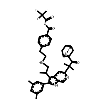 Cc1cc(C)cc(-c2[nH]c3cnc(C(C)(C)C(=O)N4CC5CCC4CC5)cc3c2C(C)CNCCc2ccc(C(=O)OC(=O)C(F)(F)F)cc2)c1